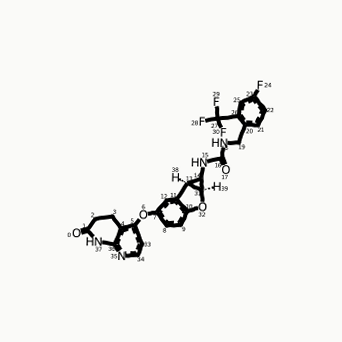 O=C1CCc2c(Oc3ccc4c(c3)[C@H]3C(NC(=O)NCc5ccc(F)cc5C(F)(F)F)[C@H]3O4)ccnc2N1